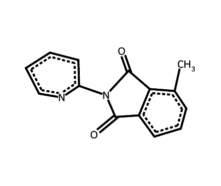 Cc1cccc2c1C(=O)N(c1ccccn1)C2=O